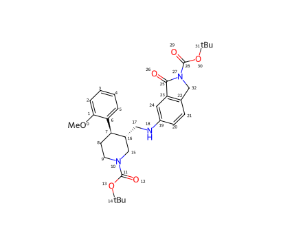 COc1ccccc1[C@@H]1CCN(C(=O)OC(C)(C)C)C[C@H]1CNc1ccc2c(c1)C(=O)N(C(=O)OC(C)(C)C)C2